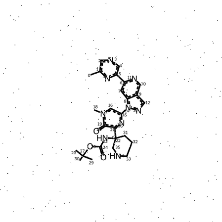 Cc1cncc(-c2cc3c(cn2)cnn3-c2cn(C)c(=O)c([C@]3(NC(=O)OC(C)(C)C)CCCNC3)n2)n1